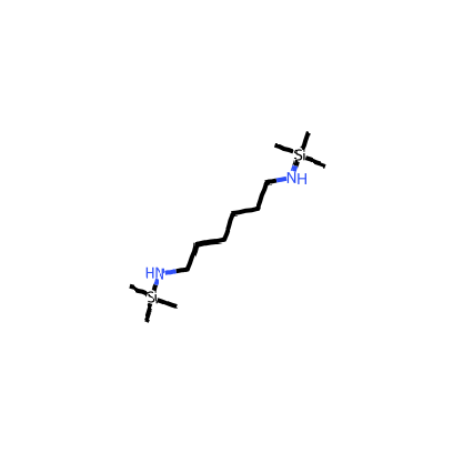 C[Si](C)(C)NCCCCCCN[Si](C)(C)C